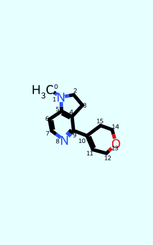 CN1CCc2c1ccnc2C1=CCOCC1